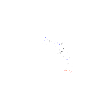 CC(C)n1nc(-c2cncc(C(F)(F)F)c2)cc1[C@H]1[C@@H]2CC(N3CCC4(C3)CS(=O)(=O)C4)C[C@@H]21